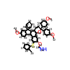 COc1ccc(C2(c3ccc(OC)cc3)C=Cc3c4c(c5cc(Sc6ccccc6C)c(OC=N)cc5c3O2)-c2ccc(OC)cc2C42CC3CCC2C3)cc1